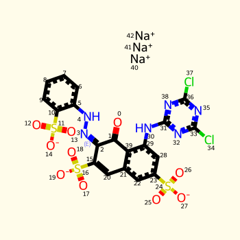 O=C1/C(=N\Nc2ccccc2S(=O)(=O)[O-])C(S(=O)(=O)[O-])=Cc2cc(S(=O)(=O)[O-])cc(Nc3nc(Cl)nc(Cl)n3)c21.[Na+].[Na+].[Na+]